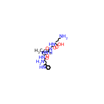 CC(C)C[C@H](NC(=O)[C@@H](N)Cc1c[nH]c2ccccc12)C(=O)NCC(=O)NCC(=O)N[C@@H](CCCCN)C(=O)O